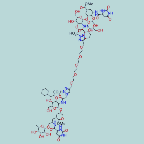 COC(=O)C1CC(NC(=O)c2cc(=O)[nH]c(=O)[nH]2)C(O[C@@H](C)OC(C)C(O)[C@H](O)CO)C(O[C@@H]2O[C@@H](CO)C(O)C(O[C@@H](CC3CCCCC3)C(=O)O)C2NC(=O)Cn2cc(COCCOCCOCCOCCOCc3cn(CC(=O)NC4C(O[C@@H](CC5CCCCC5)C(=O)O)C(O)[C@H](CO)O[C@H]4O[C@@H](C)CC(C[C@H](COC4OC(C)C(O)C(O)C4O)NC(=O)c4cc(=O)[nH]c(=O)[nH]4)C(=O)OC)nn3)nn2)C1